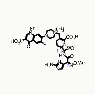 CCn1cc(C(=O)O)c(=O)c2cc(F)c(N3CC[N+](C)(CC4=C(C(=O)O)N5[C@H](CC4)[C@H](NC(=O)/C(=N\OC)c4csc(N)n4)[S+]5[O-])CC3)cc21.[I-]